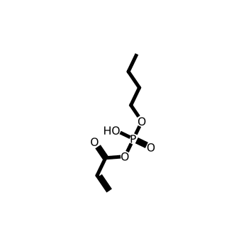 C=CC(=O)OP(=O)(O)OCCCC